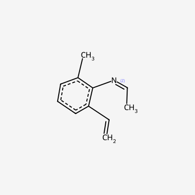 C=Cc1cccc(C)c1/N=C\C